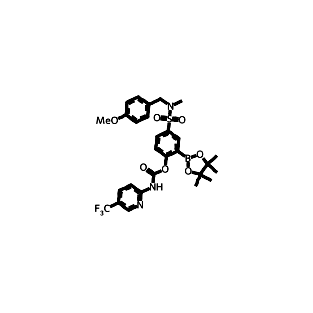 COc1ccc(CN(C)S(=O)(=O)c2ccc(OC(=O)Nc3ccc(C(F)(F)F)cn3)c(B3OC(C)(C)C(C)(C)O3)c2)cc1